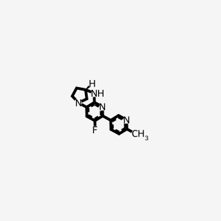 Cc1ccc(-c2nc3c(cc2F)N2CC[C@@H](C2)N3)cn1